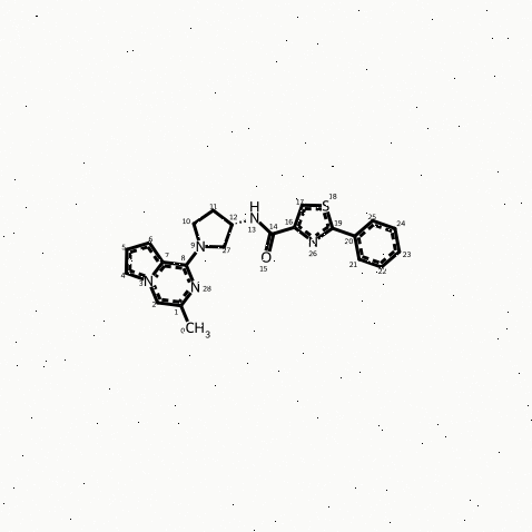 Cc1cn2cccc2c(N2CC[C@H](NC(=O)c3csc(-c4ccccc4)n3)C2)n1